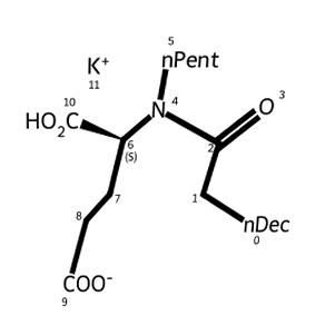 CCCCCCCCCCCC(=O)N(CCCCC)[C@@H](CCC(=O)[O-])C(=O)O.[K+]